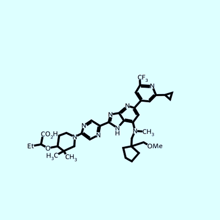 CCC(OC1CCN(c2cnc(-c3nc4nc(-c5cc(C6CC6)nc(C(F)(F)F)c5)cc(N(C)CC5(COC)CCCC5)c4[nH]3)cn2)CC1(C)C)C(=O)O